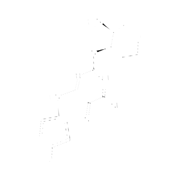 Cc1ccc(N/C(=N/C(=N)N[C@@H]2CCOC[C@@H]2N)C(=N)C(N)=O)cc1